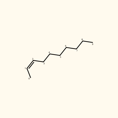 C/[C]=C\CCCCCCC